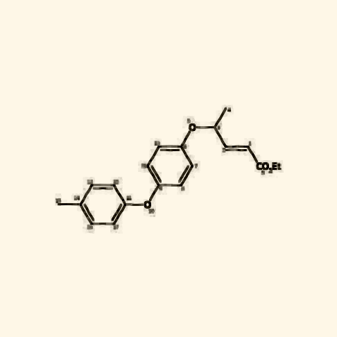 CCOC(=O)C=CC(C)Oc1ccc(Oc2ccc(C)cc2)cc1